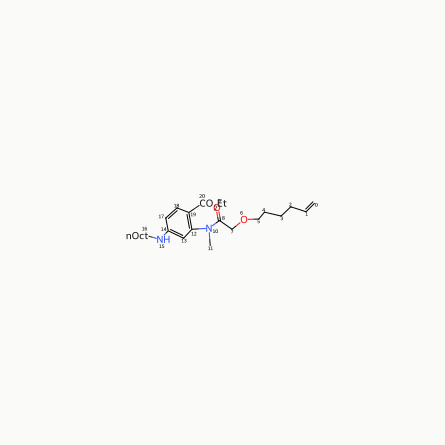 C=CCCCCOCC(=O)N(C)c1cc(NCCCCCCCC)ccc1C(=O)OCC